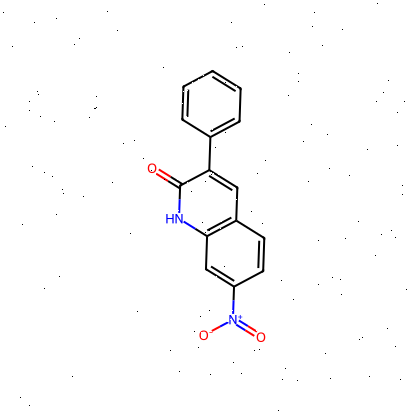 O=c1[nH]c2cc([N+](=O)[O-])ccc2cc1-c1ccccc1